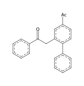 CC(=O)c1ccc(-c2ccccc2)c(CC(=O)c2ccccc2)c1